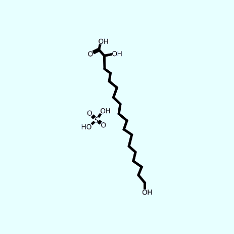 O=C(O)C(O)CCCCCCCCCCCCCCCCO.O=S(=O)(O)O